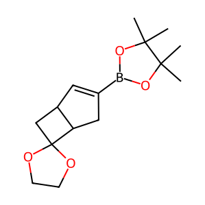 CC1(C)OB(C2=CC3CC4(OCCO4)C3C2)OC1(C)C